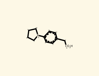 O=C(O)Cc1ccc(N2CCCC2)cc1